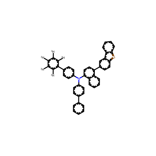 [2H]c1c([2H])c([2H])c(-c2ccc(N(c3ccc(-c4ccccc4)cc3)c3ccc(-c4ccc5sc6ccccc6c5c4)c4ccccc34)cc2)c([2H])c1[2H]